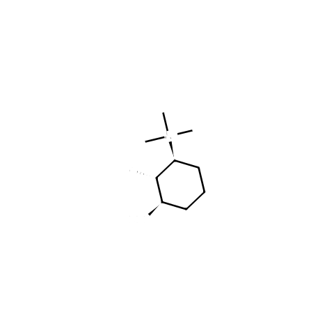 C[N+](C)(C)[C@H]1CCC[C@@H](C(=O)[O-])[C@@H]1O